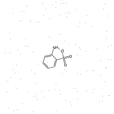 O=S(=O)(Cl)c1ccccc1[SiH3]